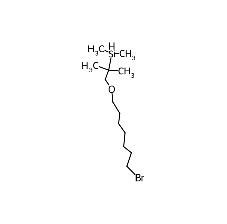 C[SiH](C)C(C)(C)COCCCCCCCBr